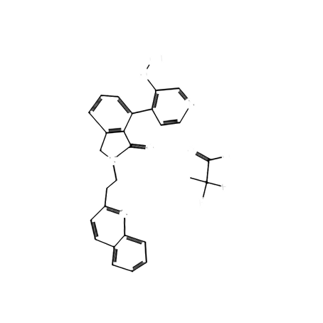 COc1cnccc1-c1cccc2c1C(=O)N(CCc1ccc3ccccc3n1)C2.O=C(O)C(F)(F)F